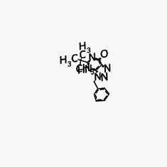 CC(C)(C)c1nc(=O)c2nnn(Cc3ccccc3)c2[nH]1